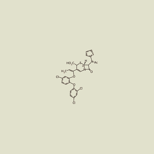 CC=C(Oc1cc(Cl)ccc1Oc1ccc(Cl)cc1Cl)C1=CN2C(=O)C(N(C(C)=O)c3cccs3)[C@H]2SC1C(=O)O